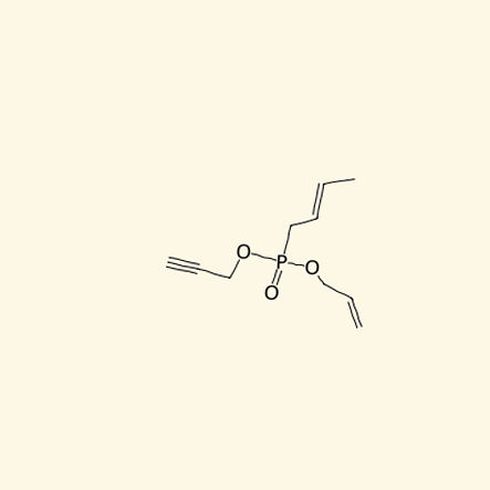 C#CCOP(=O)(CC=CC)OCC=C